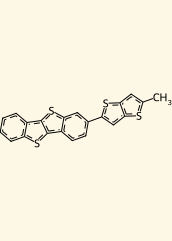 Cc1cc2sc(-c3ccc4c(c3)sc3c5ccccc5sc43)cc2s1